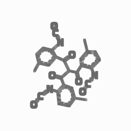 Cc1ccc(N=C=O)c(C(=O)C(C(=O)c2cc(C)ccc2N=C=O)C(=O)c2cc(C)ccc2N=C=O)c1